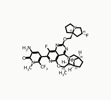 C[C@@H]1Oc2nc(-c3cc(N)c(=O)n(C)c3C(F)(F)F)c(F)c3nc(OC[C@@]45CCCN4C[C@H](F)C5)nc(c23)N2C[C@H]3CC[C@H](N3)[C@@H]12